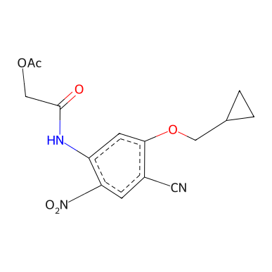 CC(=O)OCC(=O)Nc1cc(OCC2CC2)c(C#N)cc1[N+](=O)[O-]